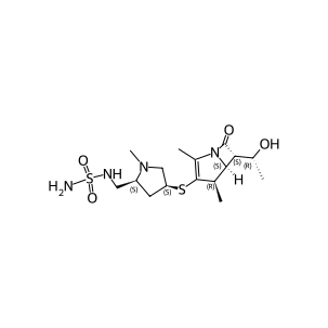 CC1=C(S[C@H]2C[C@@H](CNS(N)(=O)=O)N(C)C2)[C@H](C)[C@@H]2[C@@H]([C@@H](C)O)C(=O)N12